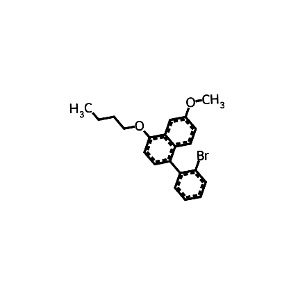 CCCCOc1ccc(-c2ccccc2Br)c2ccc(OC)cc12